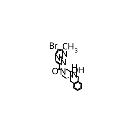 Cc1nc2nc(C(=O)N3CC[C@]4(Cc5ccccc5CN4)[C@H](O)C3)cn2cc1Br